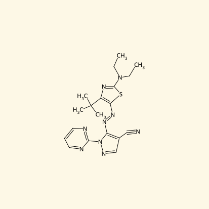 CCN(CC)c1nc(C(C)(C)C)c(N=Nc2c(C#N)cnn2-c2ncccn2)s1